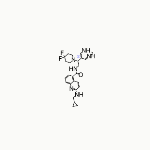 N=C/C(=C\N)C(CNC(=O)c1cccc2nc(NCC3CC3)ccc12)N1CCC(F)(F)CC1